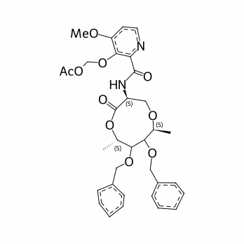 COc1ccnc(C(=O)N[C@H]2CO[C@@H](C)C(OCc3ccccc3)C(OCc3ccccc3)[C@H](C)OC2=O)c1OCOC(C)=O